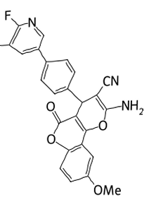 COc1ccc2oc(=O)c3c(c2c1)OC(N)=C(C#N)C3c1ccc(-c2cnc(F)c(C)c2)cc1